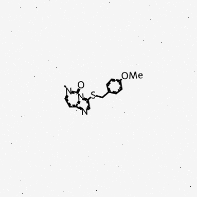 COc1ccc(CSc2cnc3ccn(C)c(=O)n23)cc1